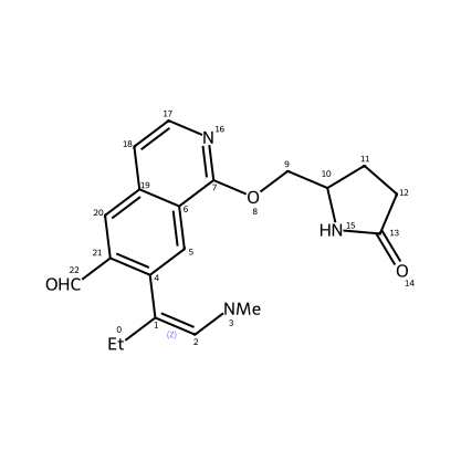 CC/C(=C/NC)c1cc2c(OCC3CCC(=O)N3)nccc2cc1C=O